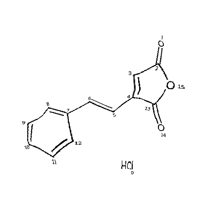 Cl.O=C1C=C(C=Cc2ccccc2)C(=O)O1